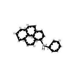 c1ccc(Nc2ccc3ccc4cccc5ccc2c3c45)cc1